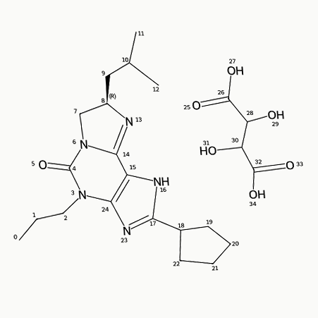 CCCN1C(=O)N2C[C@@H](CC(C)C)N=C2c2[nH]c(C3CCCC3)nc21.O=C(O)C(O)C(O)C(=O)O